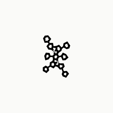 c1ccc(-c2ccc3c(c2)c2cc(-c4ccccc4)cc4c5c(-c6ccccc6)c6c(c(-c7ccccc7)c5n3c24)c2cc(-c3ccccc3)cc3c4cc(-c5ccccc5)ccc4n6c32)cc1